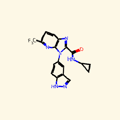 O=C(NC1CC1)c1nc2ccc(C(F)(F)F)nc2n1-c1ccc2[nH]ncc2c1